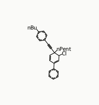 CCCCCC1(C#Cc2ccc(CCCC)cc2)C=CC(c2ccccc2)=CC1Cl